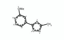 COc1cc(-c2nc(C)no2)cnn1